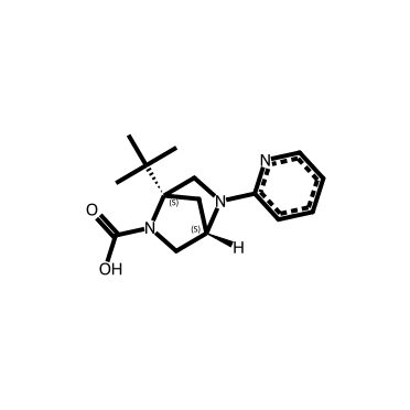 CC(C)(C)[C@]12C[C@@H](CN1C(=O)O)N(c1ccccn1)C2